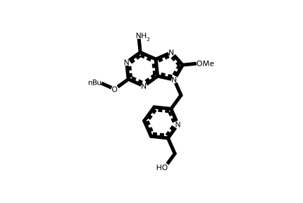 CCCCOc1nc(N)c2nc(OC)n(Cc3cccc(CO)n3)c2n1